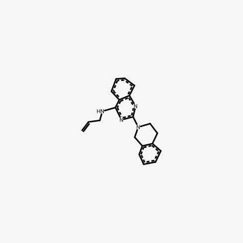 C=CCNc1nc(N2CCc3ccccc3C2)nc2ccccc12